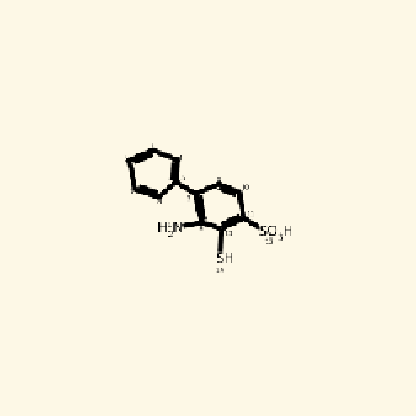 Nc1c(-c2ccccc2)ccc(S(=O)(=O)O)c1S